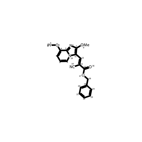 COc1nc2c(OC(C)C)cccn2c1C=C(C#N)C(=O)OCc1ccccc1